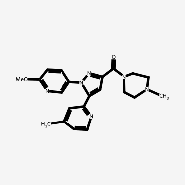 COc1ccc(-n2nc(C(=O)N3CCN(C)CC3)cc2-c2cc(C)ccn2)cn1